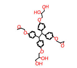 OCC(O)COc1ccc(C(c2ccc(OCC3CO3)cc2)C(c2ccc(OCC(O)CO)cc2)c2ccc(OCC3CO3)cc2)cc1